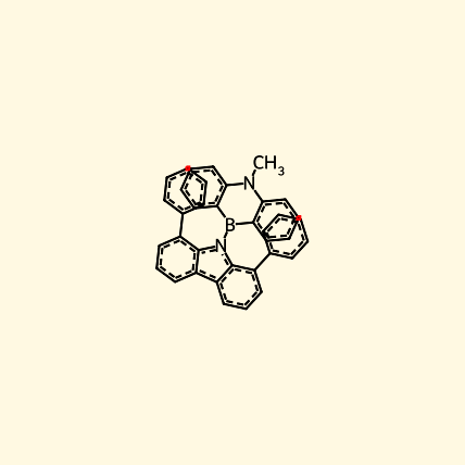 CN1c2ccccc2B(n2c3c(-c4ccccc4)cccc3c3cccc(-c4ccccc4)c32)c2ccccc21